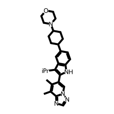 Cc1c(-c2[nH]c3ccc(C4CCC(N5CCOCC5)CC4)cc3c2C(C)C)cn2ncnc2c1C